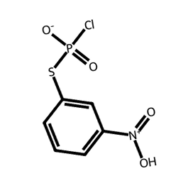 O=[N+](O)c1cccc(SP(=O)([O-])Cl)c1